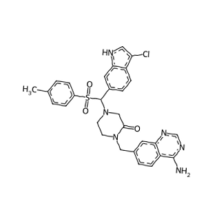 Cc1ccc(S(=O)(=O)C(c2ccc3c(Cl)c[nH]c3c2)N2CCN(Cc3ccc4c(N)ncnc4c3)C(=O)C2)cc1